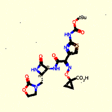 CC(C)(C)OC(=O)Nc1nc(C(=NOC2(C(=O)O)CC2)C(=O)N[C@@H]2C(=O)N[C@H]2CN2CCOC2=O)cs1